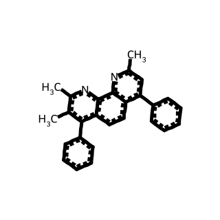 Cc1cc(-c2ccccc2)c2ccc3c(-c4ccccc4)c(C)c(C)nc3c2n1